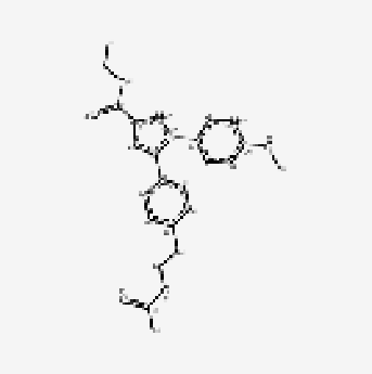 CCOC(=O)c1cc(-c2ccc(CCOC(C)=O)cc2)n(-c2ccc(OC)nc2)n1